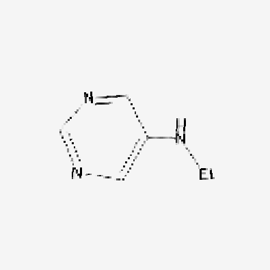 [CH2]CNc1cncnc1